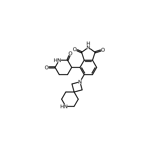 O=C1CCC(c2c(N3CC4(CCNCC4)C3)ccc3c2C(=O)NC3=O)C(=O)N1